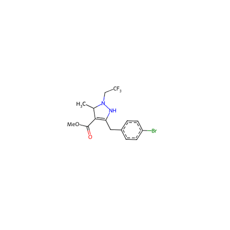 COC(=O)C1=C(Cc2ccc(Br)cc2)NN(CC(F)(F)F)C1C